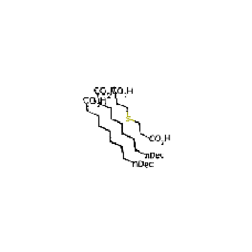 CCCCCCCCCCCCCCCCCC(=O)O.CCCCCCCCCCCCCCCCCC(=O)O.O=C(O)CCSCCC(=O)O